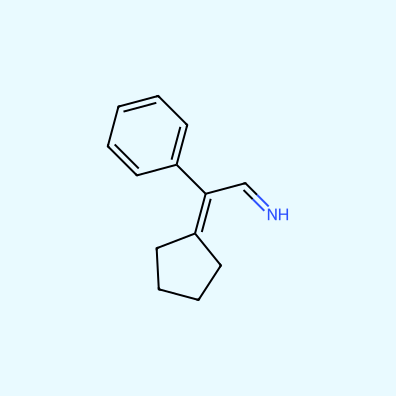 N=CC(=C1CCCC1)c1ccccc1